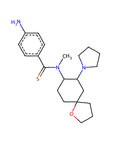 CN(C(=S)c1ccc(N)cc1)C1CCC2(CCCO2)CC1N1CCCC1